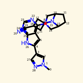 Cn1cc(-c2cc3c(N4CC5CCC(C4)N5C4CC(C#N)C4)ncnc3[nH]2)cn1